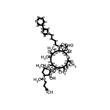 C#CCCN(C)[C@H]1C[C@@H](C)O[C@@H](O[C@@H]2[C@@H](C)C(=O)[C@](C)(F)C(=O)O[C@H](CC)[C@@](C)(OC=O)C(N(C)CCCCn3cnc(-c4cccnc4)c3)[C@@H](C)C(=O)[C@H](C)C[C@@]2(C)OC)[C@@H]1O